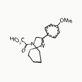 COc1ccc(C2=NC3(CCCCC3)N(C(=O)C(=O)O)C2)cc1